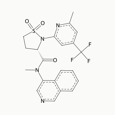 Cc1cc(C(F)(F)F)cc(N2[C@H](C(=O)N(C)c3cncc4ccccc34)CCS2(=O)=O)n1